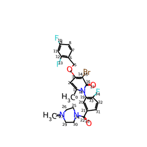 Cc1cc(OCc2ccc(F)cc2F)c(Br)c(=O)n1-c1cc(C(=O)N2CCN(C)CC2)ccc1F